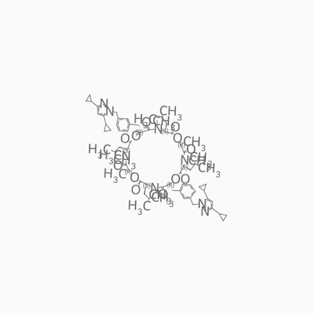 CC(C)C[C@H]1C(=O)O[C@H](Cc2cccc(Cn3nc(C4CC4)cc3C3CC3)c2)C(=O)N(C)[C@@H](CC(C)C)C(=O)O[C@H](C)C(=O)N(C)[C@@H](CC(C)C)C(=O)O[C@H](Cc2cccc(Cn3nc(C4CC4)cc3C3CC3)c2)C(=O)N(C)[C@@H](CC(C)C)C(=O)O[C@H](C)C(=O)N1C